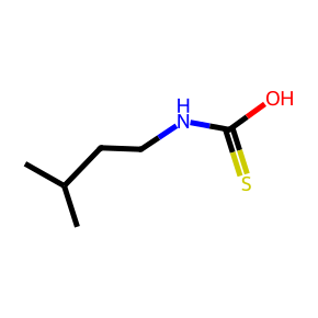 CC(C)CCNC(O)=S